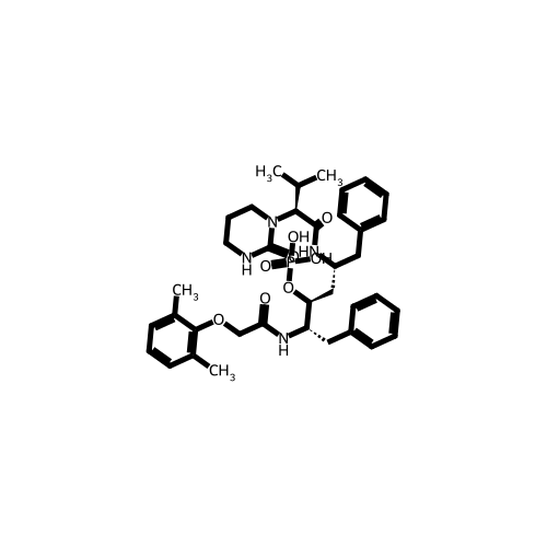 Cc1cccc(C)c1OCC(=O)N[C@@H](Cc1ccccc1)[C@H](C[C@@H](Cc1ccccc1)NC(=O)[C@H](C(C)C)N1CCCNC1=O)OP(=O)(O)O